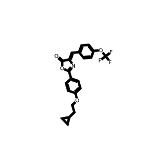 O=C1OC(c2ccc(OCCC3CC3)cc2)=NC1=Cc1ccc(OC(F)(F)F)cc1